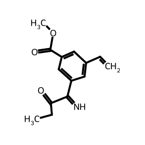 C=Cc1cc(C(=N)C(=O)CC)cc(C(=O)OC)c1